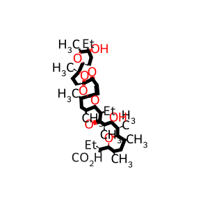 CC[C@@H](C(=O)O)[C@@H]1O[C@@H]([C@@H](C)[C@H](O)[C@H](C)C(=O)[C@H](CC)[C@H]2O[C@]3(C=CC(=O)[C@]4(CC[C@@](C)([C@H]5CC[C@](O)(CC)[C@H](C)O5)O4)O3)[C@H](C)C[C@@H]2C)[C@@H](C)C[C@@H]1C